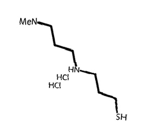 CNCCCNCCCS.Cl.Cl